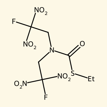 CCSC(=O)N(CC(F)([N+](=O)[O-])[N+](=O)[O-])CC(F)([N+](=O)[O-])[N+](=O)[O-]